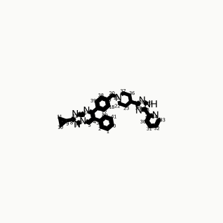 c1ccc(-c2cn3nc(C4CC4)nc3nc2-c2ccc(CN3CCC(c4n[nH]c(-c5ccccn5)n4)CC3)cc2)cc1